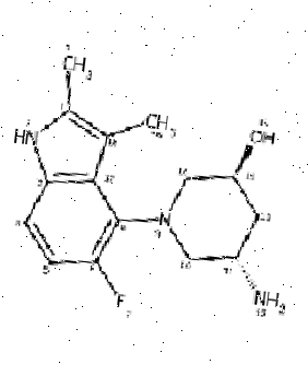 Cc1[nH]c2ccc(F)c(N3C[C@@H](N)C[C@H](O)C3)c2c1C